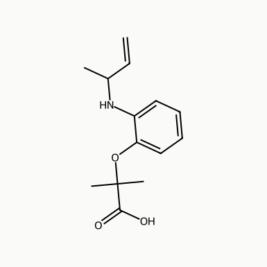 C=CC(C)Nc1ccccc1OC(C)(C)C(=O)O